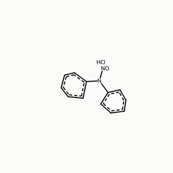 Cl.O=NN(c1ccccc1)c1ccccc1